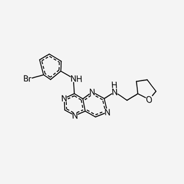 Brc1cccc(Nc2ncnc3cnc(NCC4CCCO4)nc23)c1